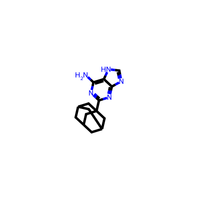 Nc1nc(C23CC4CC(CC(C4)C2)C3)nc2nc[nH]c12